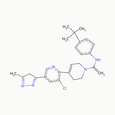 C=C(Nc1ccc(C(C)(C)C)cc1)N1CC=C(c2ncc(C3=NN=C(C)C3)cc2Cl)CC1